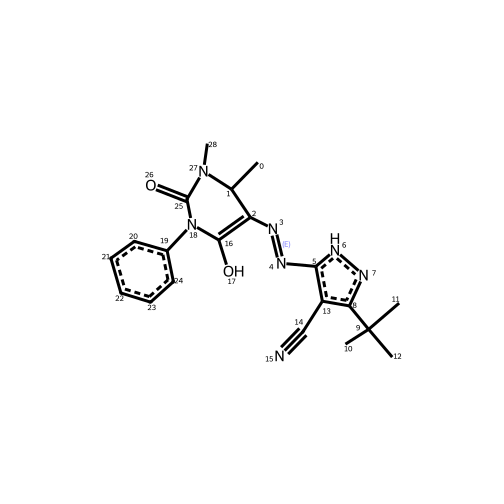 CC1C(/N=N/c2[nH]nc(C(C)(C)C)c2C#N)=C(O)N(c2ccccc2)C(=O)N1C